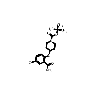 CC(C)(C)OC(=O)N1CCC(Oc2ccc(Cl)cc2C(N)=O)CC1